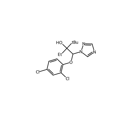 CCC(O)(C(Oc1ccc(Cl)cc1Cl)n1cncn1)C(C)(C)C